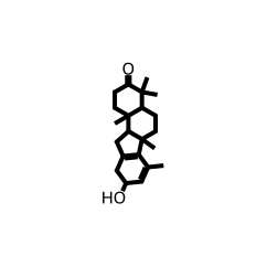 CC1=CC(O)CC2=C1C1(C)CCC3C(C)(C)C(=O)CCC3(C)C1C2